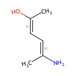 C/C(N)=C\C=C(/C)O